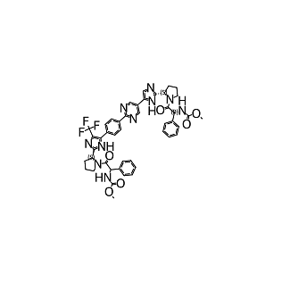 COC(=O)NC(C(=O)N1CCC[C@H]1c1nc(C(F)(F)F)c(-c2ccc(-c3ncc(-c4cnc([C@@H]5CCCN5C(=O)[C@H](NC(=O)OC)c5ccccc5)[nH]4)cn3)cc2)[nH]1)c1ccccc1